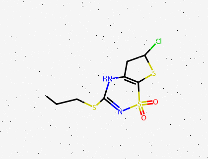 CCCSC1=NS(=O)(=O)C2=C(CC(Cl)S2)N1